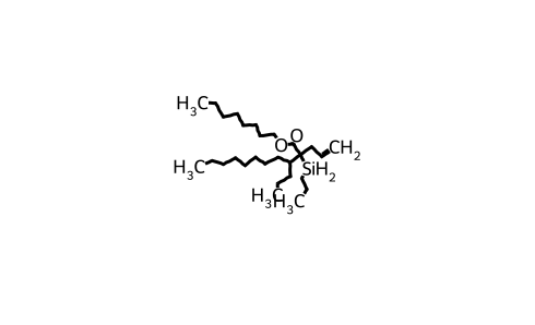 C=CCC([SiH2]CCC)(C(=O)OCCCCCCCC)C(CCC)CCCCCCCC